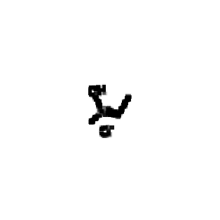 CC=[N+](C)O.[Cl-]